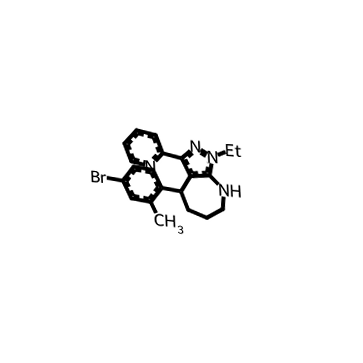 CCn1nc(-c2ccccn2)c2c1NCCCC2c1ccc(Br)cc1C